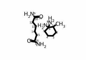 CC1CCCCC1(N)N.NC(=O)CCCCC(N)=O